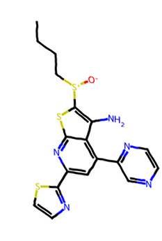 CCCC[S+]([O-])c1sc2nc(-c3nccs3)cc(-c3cnccn3)c2c1N